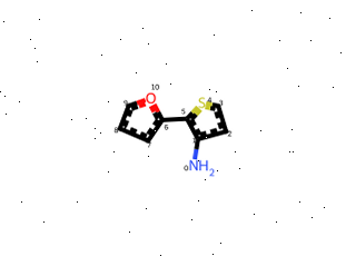 Nc1ccsc1-c1ccco1